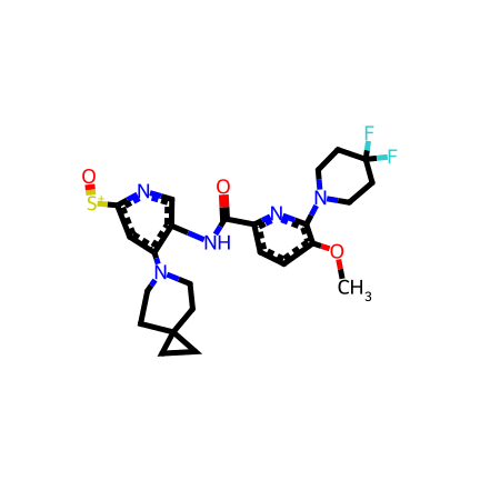 COc1ccc(C(=O)Nc2cnc([S+]=O)cc2N2CCC3(CC2)CC3)nc1N1CCC(F)(F)CC1